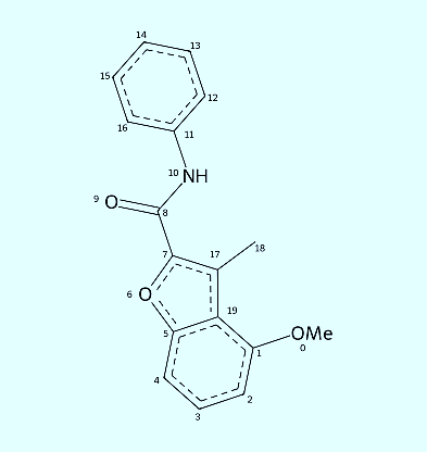 COc1cccc2oc(C(=O)Nc3ccccc3)c(C)c12